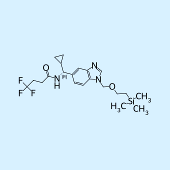 C[Si](C)(C)CCOCn1cnc2cc([C@H](NC(=O)CCC(F)(F)F)C3CC3)ccc21